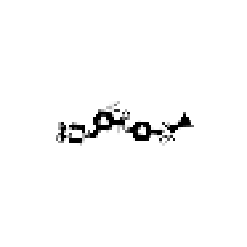 Cl.O=C(Nc1ccc(-c2nc(C3CC3)no2)cc1)c1cccc(CN2CCS(=O)(=O)CC2)c1